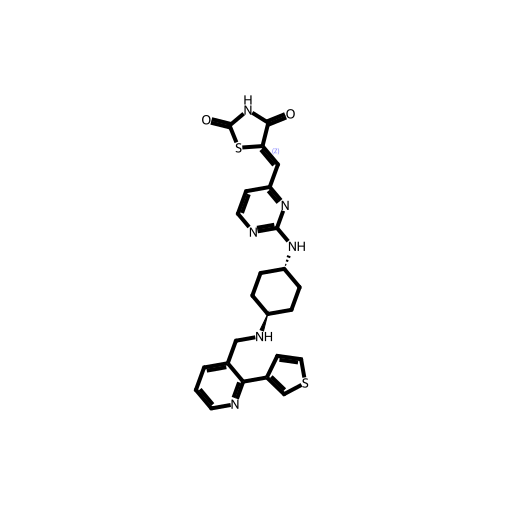 O=C1NC(=O)/C(=C/c2ccnc(N[C@H]3CC[C@H](NCc4cccnc4-c4ccsc4)CC3)n2)S1